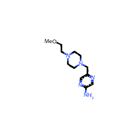 COCCN1CCN(Cc2cnc(N)cn2)CC1